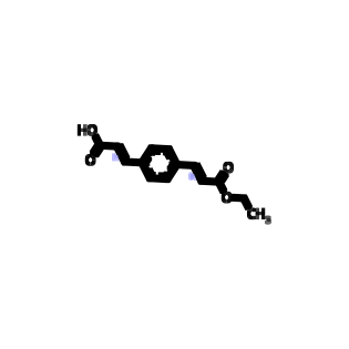 CCOC(=O)/C=C/c1ccc(/C=C/C(=O)O)cc1